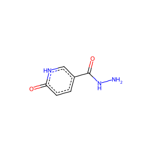 NNC(=O)c1ccc(=O)[nH]c1